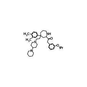 Cc1ccc(C2(CCN3CCC(N4CCCCC4)CC3)CCCNC(C(=O)Cc3cccc(OC(C)C)c3)C2)cc1C